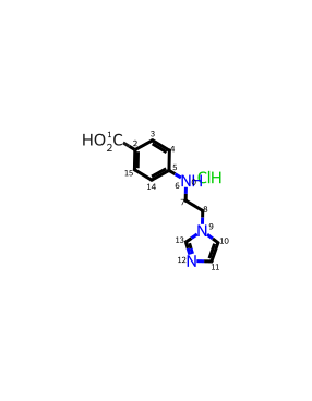 Cl.O=C(O)c1ccc(NCCn2ccnc2)cc1